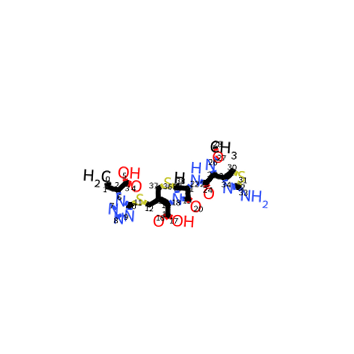 C=CC(C(=O)O)n1nnnc1SCC1=C(C(=O)O)N2C(=O)C(NC(=O)C(=NOC)c3csc(N)n3)[C@@H]2SC1